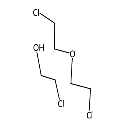 ClCCOCCCl.OCCCl